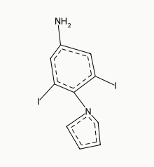 Nc1cc(I)c(-n2cccc2)c(I)c1